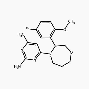 COc1ccc(F)cc1C1COCCCN1c1cc(C)nc(N)n1